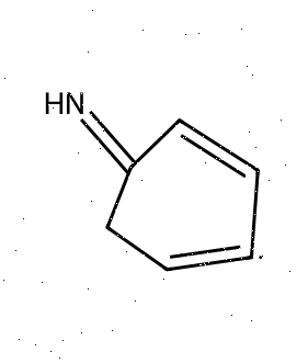 N=C1C=C[C]=CC1